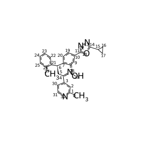 Cc1cc(C(C[C@H](c2ccc(-c3nnc(C4CC4)o3)cc2)c2ccccc2C)=NO)ccn1